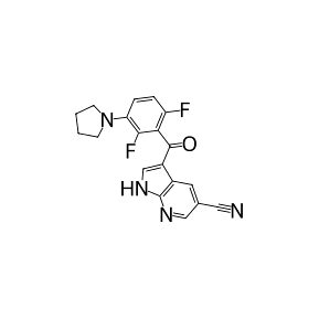 N#Cc1cnc2[nH]cc(C(=O)c3c(F)ccc(N4CCCC4)c3F)c2c1